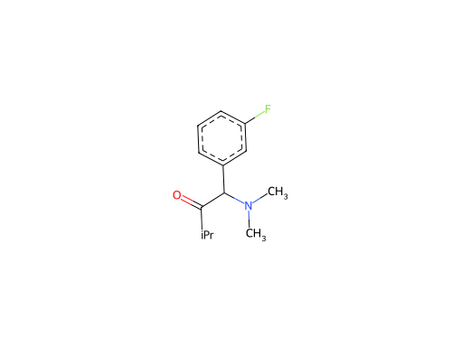 CC(C)C(=O)C(c1cccc(F)c1)N(C)C